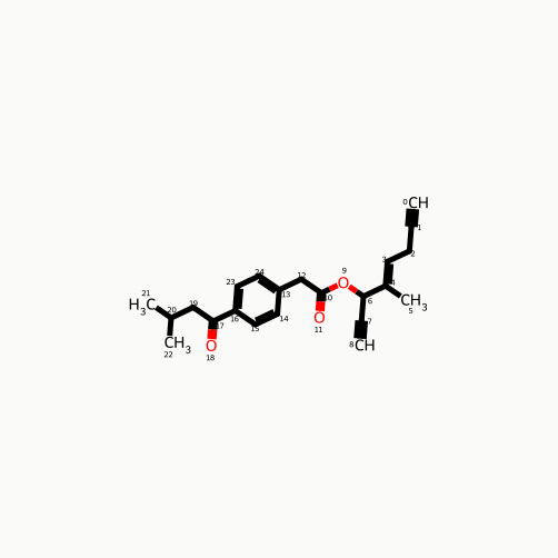 C#CCC=C(C)C(C#C)OC(=O)Cc1ccc(C(=O)CC(C)C)cc1